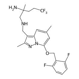 Cc1cc(OCc2c(F)cccc2F)n2nc(C)c(CNCC(C)(N)CCC(F)(F)F)c2c1